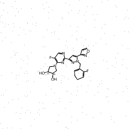 O[C@@H]1CN(c2nc(-c3cc(-c4ccon4)n(CC4=CCCC=C4F)n3)ncc2F)C[C@@H]1O